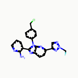 Nc1ncccc1-c1nc2ccc(-c3cnn(CF)n3)nc2n1-c1ccc(CCl)cc1